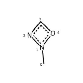 Cn1nco1